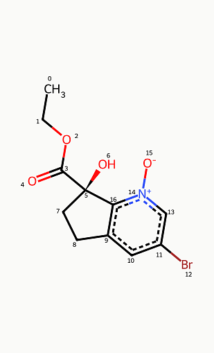 CCOC(=O)[C@@]1(O)CCc2cc(Br)c[n+]([O-])c21